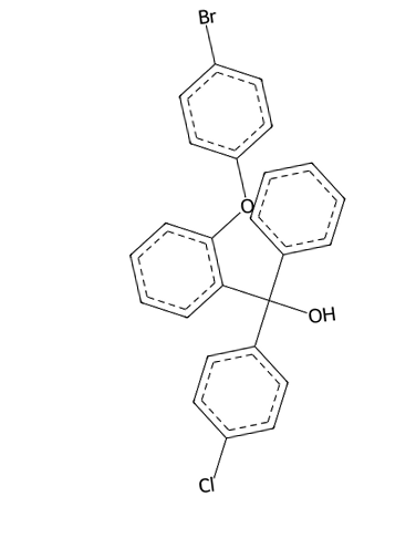 OC(c1ccccc1)(c1ccc(Cl)cc1)c1ccccc1Oc1ccc(Br)cc1